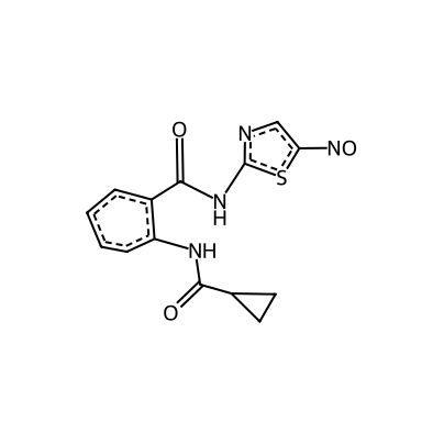 O=Nc1cnc(NC(=O)c2ccccc2NC(=O)C2CC2)s1